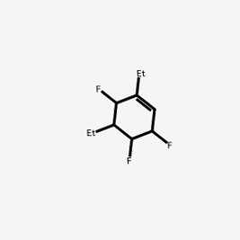 CCC1=CC(F)C(F)C(CC)C1F